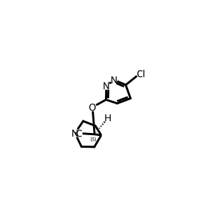 Clc1ccc(O[C@@H]2CN3CCC2CC3)nn1